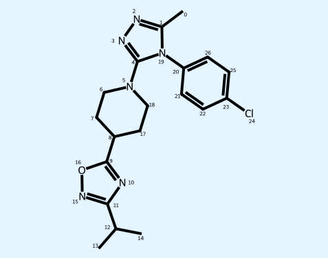 Cc1nnc(N2CCC(c3nc(C(C)C)no3)CC2)n1-c1ccc(Cl)cc1